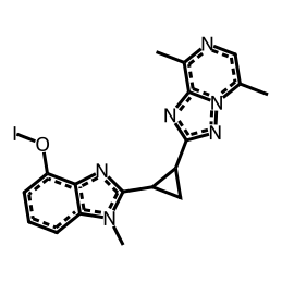 Cc1ncc(C)n2nc(C3CC3c3nc4c(OI)cccc4n3C)nc12